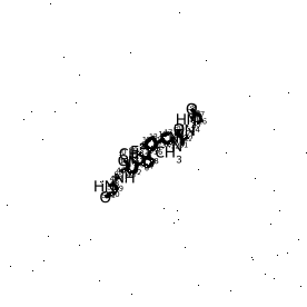 COc1nc(-c2cccc(-c3cccc(-c4ccn5c(=O)c(CNC[C@H]6CCC(=O)N6)cnc5c4)c3C)c2C(F)(F)F)ccc1CNC[C@@H]1CCC(=O)N1